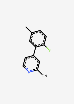 Cc1ccc(F)c(-c2ccnc(C#N)c2)c1